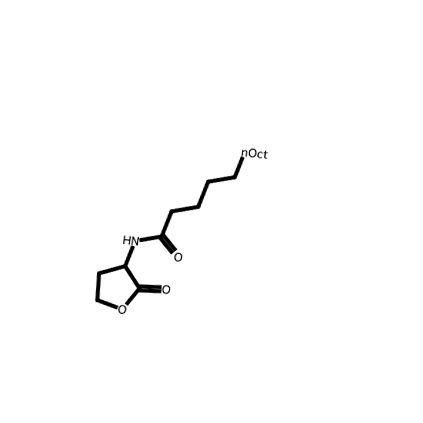 CCCCCCCCCCCCC(=O)NC1CCOC1=O